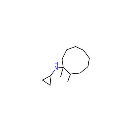 CC1CCCCCCCC1(C)NC1CC1